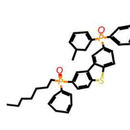 CCCCCCCP(=O)(C1=CC=CCC=C1)c1ccc2sc3ccc(P(=O)(C4=CC=CC(C)C4)c4ccccc4)cc3c2c1